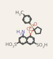 Cc1ccc(S(=O)(=O)C2(Oc3cc(S(=O)(=O)O)cc4cc(S(=O)(=O)O)cc(N)c34)CCCC2)cc1